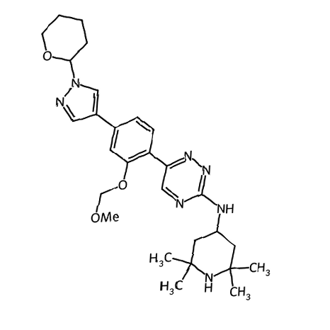 COCOc1cc(-c2cnn(C3CCCCO3)c2)ccc1-c1cnc(NC2CC(C)(C)NC(C)(C)C2)nn1